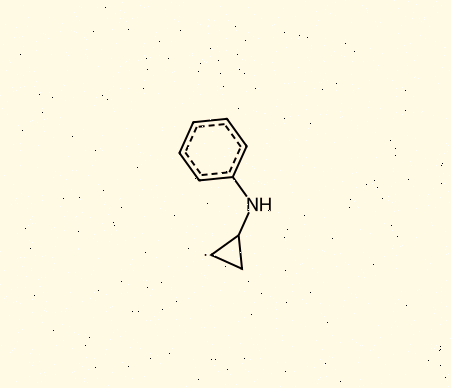 [CH]1CC1Nc1ccccc1